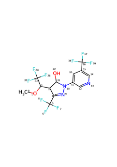 COC(C1C(C(F)(F)F)=NN(c2cncc(C(F)(F)F)c2)C1O)C(F)(F)F